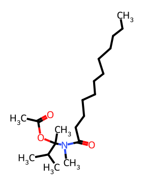 CCCCCCCCCCCC(=O)N(C)C(C)(OC(C)=O)C(C)C